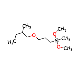 CCC(C)COCCC[Si](C)(OC)OC